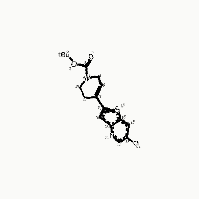 CC(C)(C)OC(=O)N1CC=C(c2cc3ncc(Cl)cc3s2)CC1